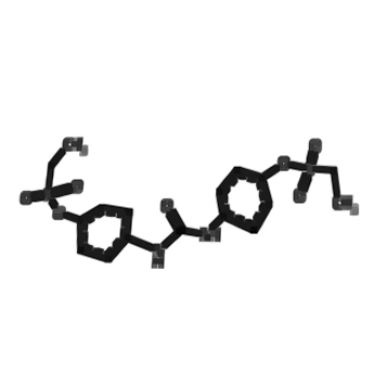 CCS(=O)(=O)Oc1ccc(NC(=O)Nc2ccc(OS(=O)(=O)CC)cc2)cc1